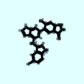 O=c1[nH][nH]c2cc(Cl)c(-c3nc(Nc4n[nH]c5ccc(F)cc45)c4cnoc4n3)cc12